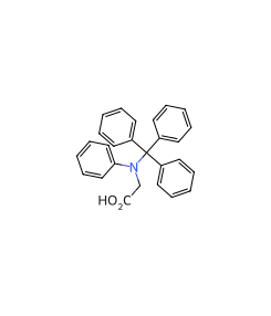 O=C(O)CN(c1ccccc1)C(c1ccccc1)(c1ccccc1)c1ccccc1